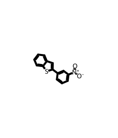 O=[N+]([O-])c1cccc(-c2cc3ccccc3s2)c1